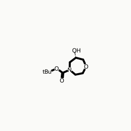 CC(C)(C)OC(=O)N1CCOC[C@@H](O)C1